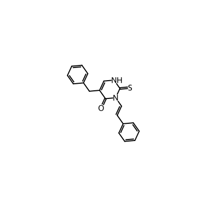 O=c1c(Cc2ccccc2)c[nH]c(=S)n1C=Cc1ccccc1